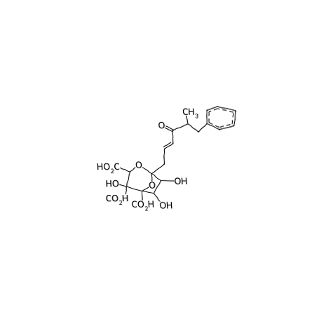 CC(Cc1ccccc1)C(=O)C=CCC12OC(C(=O)O)C(O)(C(=O)O)C(C(=O)O)(O1)C(O)C2O